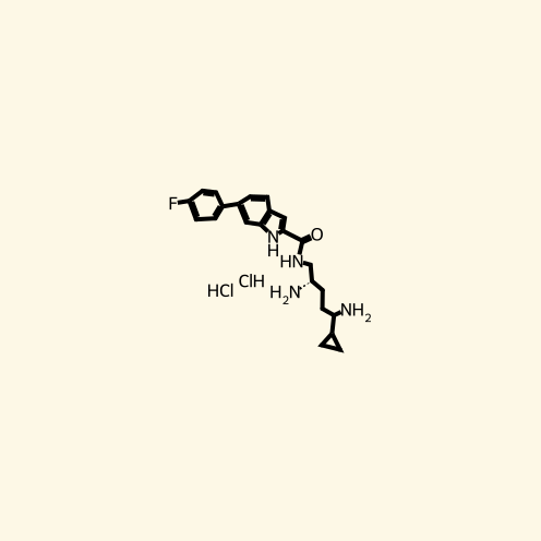 Cl.Cl.NC(CC[C@H](N)CNC(=O)c1cc2ccc(-c3ccc(F)cc3)cc2[nH]1)C1CC1